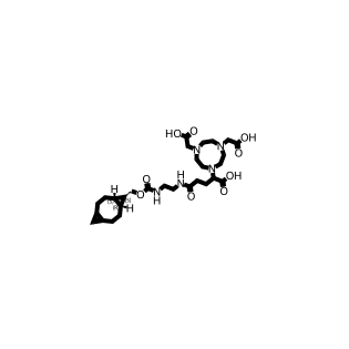 O=C(O)CN1CCN(CC(=O)O)CCN(C(CCC(=O)NCCNC(=O)OC[C@@H]2[C@@H]3CCC4=CC4CC[C@@H]32)C(=O)O)CC1